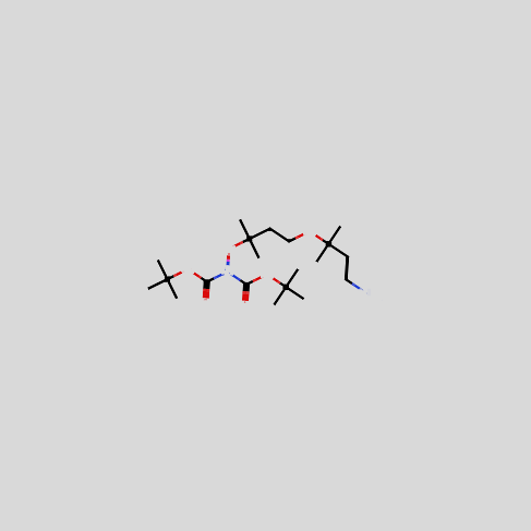 CC(C)(C)OC(=O)N(OC(C)(C)CCOC(C)(C)CCN)C(=O)OC(C)(C)C